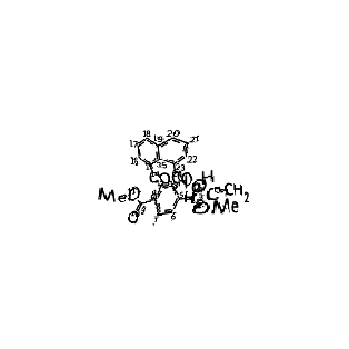 C=C.COC(=O)c1ccc(C(=O)OC)cc1.O=C(O)c1cccc2cccc(C(=O)O)c12